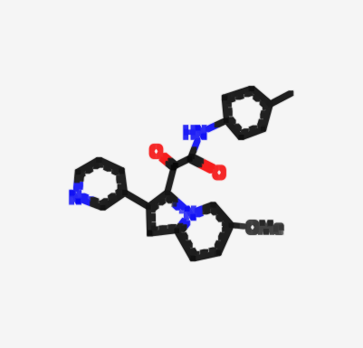 COc1ccc2cc(-c3cccnc3)c(C(=O)C(=O)Nc3ccc(C)cc3)n2c1